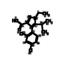 CCn1nc(C(=O)O)c(-c2ccc(Cl)cc2Cl)c1C(C)C